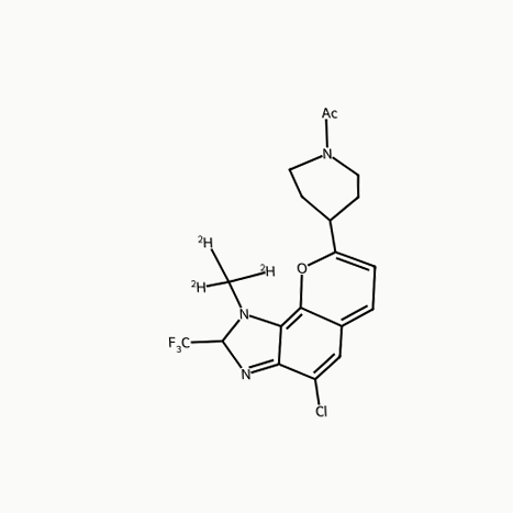 [2H]C([2H])([2H])N1c2c3c(cc(Cl)c2=NC1C(F)(F)F)=CC=C(C1CCN(C(C)=O)CC1)O3